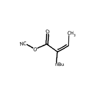 CC=C(CCCC)C(=O)OC#N